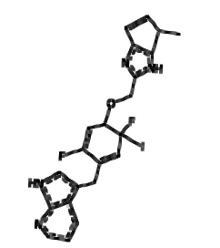 CC1C=Cc2nc(COC3C=C(F)C(Cc4c[nH]c5ncccc45)=CC3(F)I)[nH]c21